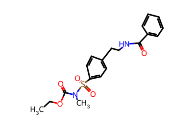 CCOC(=O)N(C)S(=O)(=O)c1ccc(CCNC(=O)c2ccccc2)cc1